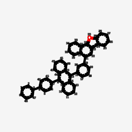 c1ccc(-c2ccc(-c3c4ccccc4c(-c4cccc(-c5cc6c7ccccc7oc6c6ccccc56)c4)c4ccccc34)cc2)cc1